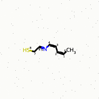 C\C=C/C=C\N=C\CS